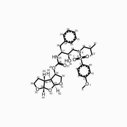 COc1ccc(S(=O)(=O)N(CC(C)C)C[C@@H](O)[C@H](Cc2ccccc2)NC(=O)O[C@H]2CO[C@H]3O[C@@H]4OCC[C@@H]4[C@H]32)cc1